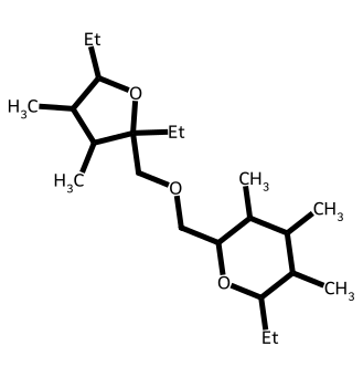 CCC1OC(COCC2(CC)OC(CC)C(C)C2C)C(C)C(C)C1C